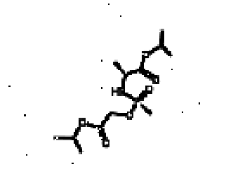 CC(C)OC(=O)CO[P@@](C)(=O)N[C@@H](C)C(=O)OC(C)C